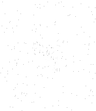 Cc1[nH]c2ncccc2c1-c1nc(NC2C3CCC(CC3)C2C(=O)O)cc(-c2ccccc2)n1